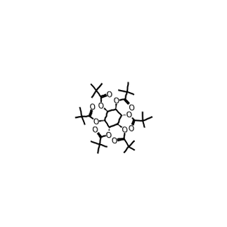 CC(C)(C)C(=O)O[C@H]1[C@H](OC(=O)C(C)(C)C)[C@@H](OC(=O)C(C)(C)C)[C@H](OC(=O)C(C)(C)C)[C@@H](OC(=O)C(C)(C)C)[C@H]1OC(=O)C(C)(C)C